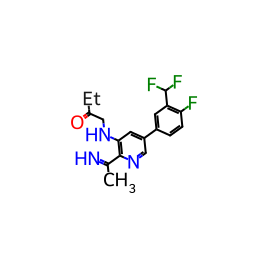 CCC(=O)CNc1cc(-c2ccc(F)c(C(F)F)c2)cnc1C(C)=N